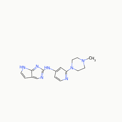 CN1CCN(c2cc(Nc3ncc4cc[nH]c4n3)ccn2)CC1